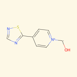 O[CH][n+]1ccc(-c2ncns2)cc1